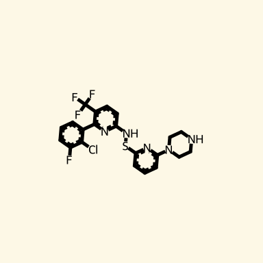 Fc1cccc(-c2nc(NSc3cccc(N4CCNCC4)n3)ccc2C(F)(F)F)c1Cl